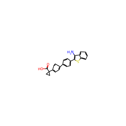 Nc1c(-c2ccc(-c3ccc(C4(C(=O)O)CC4)cc3)cc2)sc2ccccc12